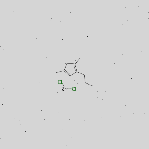 CCCC1=C(C)[CH]C(C)=C1.[Cl][Zr][Cl]